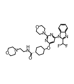 O=C(NCCN1CCOCC1)[C@H]1CC[C@H](Oc2cc(-n3c(C(F)F)nc4ccccc43)nc(N3CCOCC3)n2)CC1